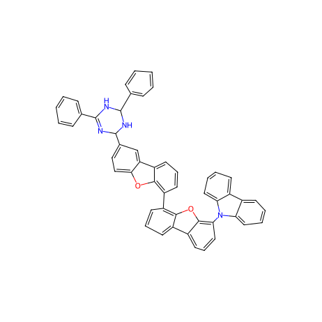 c1ccc(C2=NC(c3ccc4oc5c(-c6cccc7c6oc6c(-n8c9ccccc9c9ccccc98)cccc67)cccc5c4c3)NC(c3ccccc3)N2)cc1